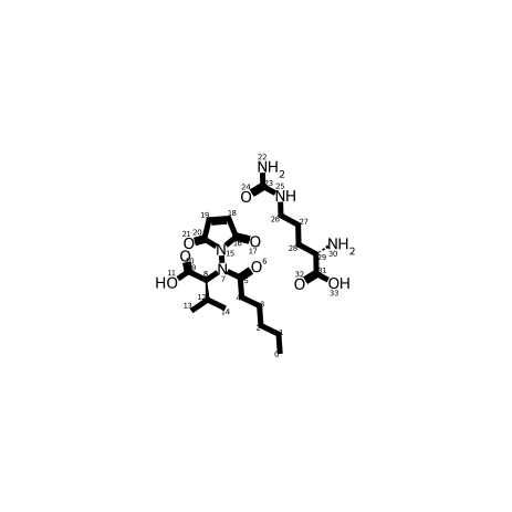 CCCCCC(=O)N([C@H](C(=O)O)C(C)C)N1C(=O)C=CC1=O.NC(=O)NCCC[C@H](N)C(=O)O